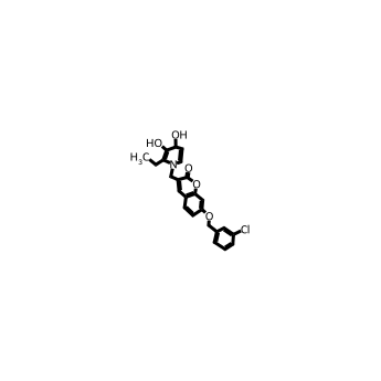 CCC1=C(O)C(O)C=CN1Cc1cc2ccc(OCc3cccc(Cl)c3)cc2oc1=O